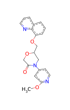 COc1cc(N2CC(COc3cccc4cccnc34)OCC2=O)ccn1